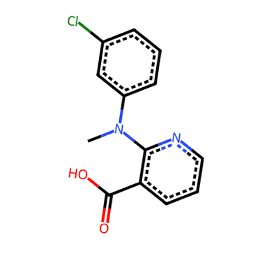 CN(c1cccc(Cl)c1)c1ncccc1C(=O)O